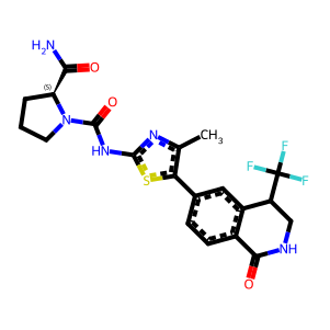 Cc1nc(NC(=O)N2CCC[C@H]2C(N)=O)sc1-c1ccc2c(c1)C(C(F)(F)F)CNC2=O